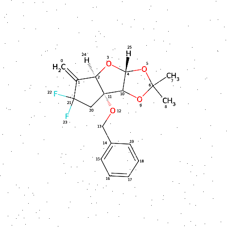 C=C1[C@H]2O[C@@H]3OC(C)(C)OC3[C@@]2(OCc2ccccc2)CC1(F)F